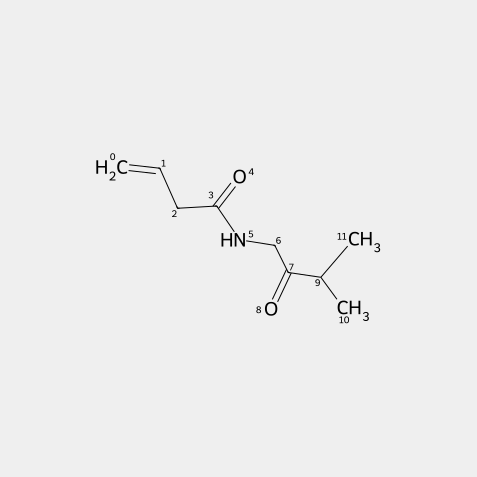 C=CCC(=O)NCC(=O)C(C)C